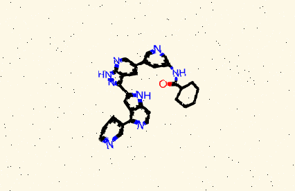 O=C(Nc1cncc(-c2cnc3[nH]nc(-c4cc5c(-c6cccnc6)nccc5[nH]4)c3c2)c1)C1CCCCC1